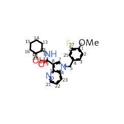 COc1ccc(Cn2cc(C(=O)N[C@H]3CCCC[C@@H]3O)c3ncccc32)cc1F